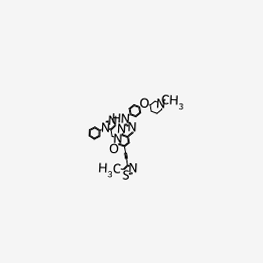 Cc1scnc1C#Cc1cc2cnc(Nc3ccc(OC4CCCN(C)C4)cc3)nc2n(Cc2cncn2-c2ccccc2)c1=O